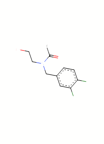 CC(C)C(=O)N(CCO)Cc1ccc(Cl)c(Cl)c1